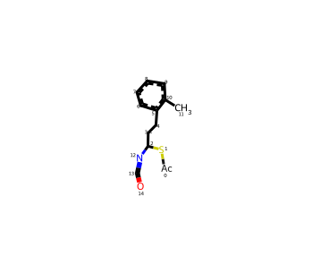 CC(=O)SC([CH]Cc1ccccc1C)N=C=O